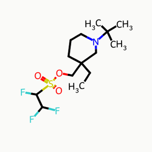 CCC1(COS(=O)(=O)C(F)C(F)F)CCCN(C(C)(C)C)C1